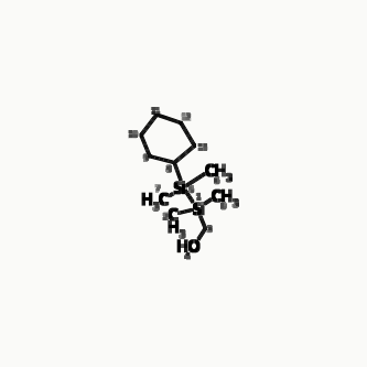 C[Si](C)(CO)[Si](C)(C)C1CCCCC1